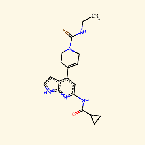 CCNC(=S)N1CC=C(c2cc(NC(=O)C3CC3)nc3[nH]ccc23)CC1